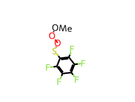 COOOSc1c(F)c(F)c(F)c(F)c1F